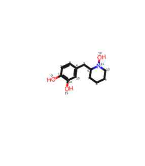 Oc1ccc(CC2CCCCN2O)cc1O